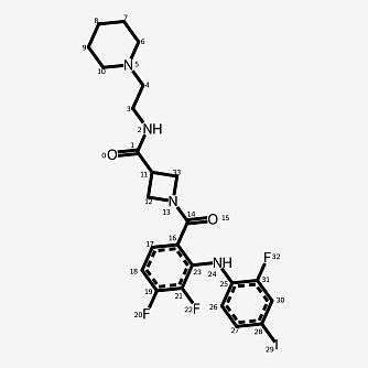 O=C(NCCN1CCCCC1)C1CN(C(=O)c2ccc(F)c(F)c2Nc2ccc(I)cc2F)C1